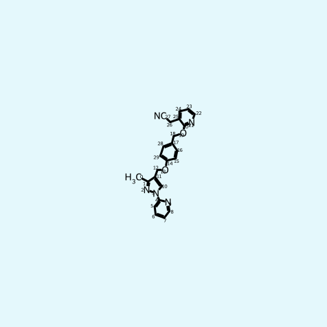 Cc1nn(-c2ccccn2)cc1COc1ccc(COc2ncccc2CC#N)cc1